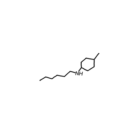 CCCCCCNC1CCC(C)CC1